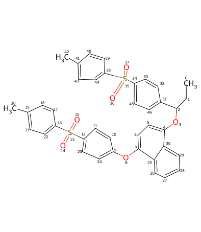 CCC(Oc1ccc(Oc2ccc(S(=O)(=O)c3ccc(C)cc3)cc2)c2ccccc12)c1ccc(S(=O)(=O)c2ccc(C)cc2)cc1